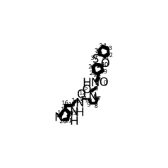 O=C(NCC(=O)N1CCC[C@H]1C(=O)NCc1cc2cnccc2[nH]1)c1ccc2c(c1)Oc1ccccc1S2